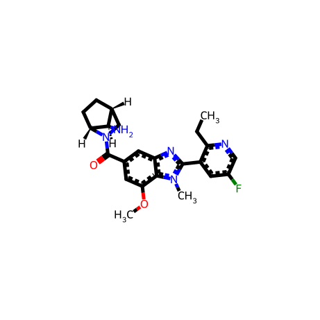 CCc1ncc(F)cc1-c1nc2cc(C(=O)N3C[C@H]4CC[C@@H]3[C@@H]4N)cc(OC)c2n1C